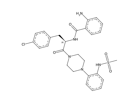 CS(=O)(=O)Nc1ccccc1N1CCN(C(=O)[C@@H](Cc2ccc(Cl)cc2)NC(=O)c2ccccc2N)CC1